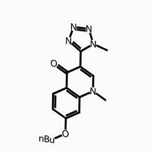 CCCCOc1ccc2c(=O)c(-c3nnnn3C)cn(C)c2c1